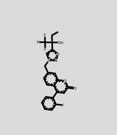 CCC(O)(c1cn(Cc2ccc3c(-c4ccccc4F)cc(=O)oc3c2)nn1)C(F)(F)F